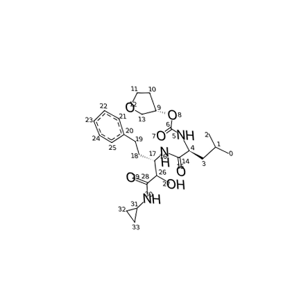 CC(C)C[C@H](NC(=O)O[C@H]1CCOC1)C(=O)N[C@@H](CCc1ccccc1)C(O)C(=O)NC1CC1